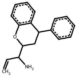 C=CC(N)C1CC(c2ccccc2)c2ccccc2O1